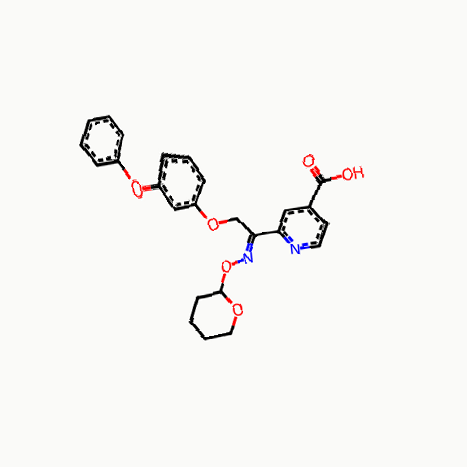 O=C(O)c1ccnc(/C(COc2cccc(Oc3ccccc3)c2)=N/OC2CCCCO2)c1